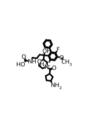 COc1cc(C)c(C(O)(CCCNC(=O)O)C2CN(C(=O)C3CCC(N)C3)CCO2)c(-c2ccccc2)c1F